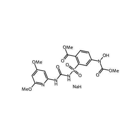 COC(=O)c1ccc(N(O)C(=O)OC)cc1S(=O)(=O)NC(=O)Nc1cc(OC)cc(OC)n1.[NaH]